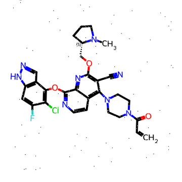 C=CC(=O)N1CCN(c2c(C#N)c(OC[C@@H]3CCCN3C)nc3c(Oc4c(Cl)c(F)cc5[nH]ncc45)nccc23)CC1